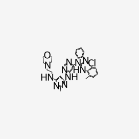 Cc1nc(NCCN2CCOCC2)cc(Nc2cc(-n3c(Nc4c(C)cccc4Cl)nc4ccccc43)ncn2)n1